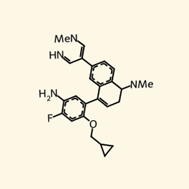 CN/C=C(\C=N)c1ccc2c(c1)C(c1cc(N)c(F)cc1OCC1CC1)=CCC2NC